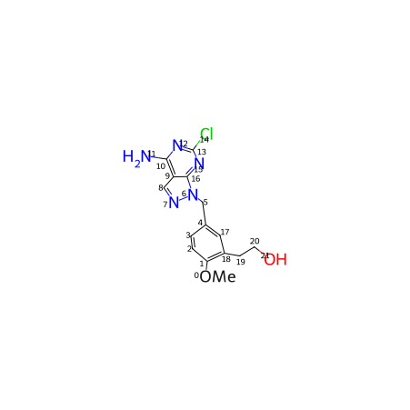 COc1ccc(Cn2ncc3c(N)nc(Cl)nc32)cc1CCO